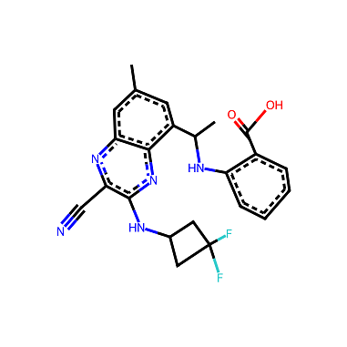 Cc1cc(C(C)Nc2ccccc2C(=O)O)c2nc(NC3CC(F)(F)C3)c(C#N)nc2c1